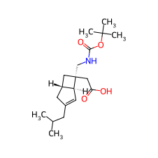 CC(C)CC1=C[C@H]2[C@H](C1)C[C@@]2(CNC(=O)OC(C)(C)C)CC(=O)O